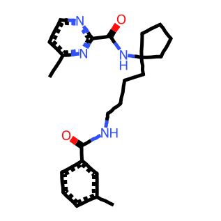 Cc1cccc(C(=O)NCCCCC2(NC(=O)c3nccc(C)n3)CCCC2)c1